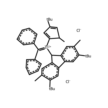 Cc1cc2c(cc1C(C)(C)C)-c1cc(C(C)(C)C)c(C)cc1[CH]2[Zr+2]([C]1=CC(C(C)(C)C)=CC1C)=[C](c1ccccc1)c1ccccc1.[Cl-].[Cl-]